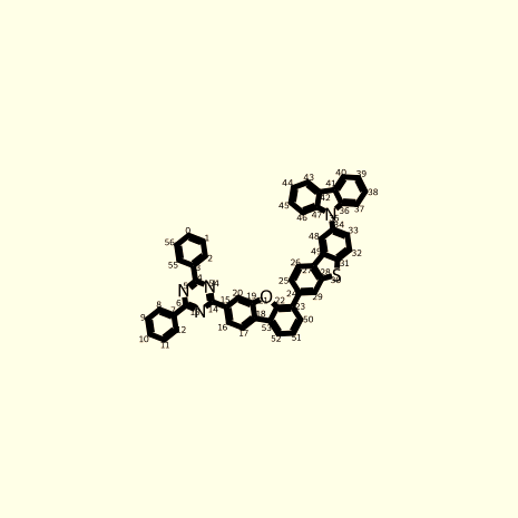 c1ccc(-c2nc(-c3ccccc3)nc(-c3ccc4c(c3)oc3c(-c5ccc6c(c5)sc5ccc(-n7c8ccccc8c8ccccc87)cc56)cccc34)n2)cc1